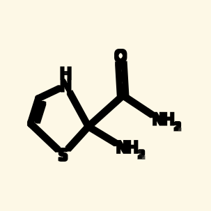 NC(=O)C1(N)NC=CS1